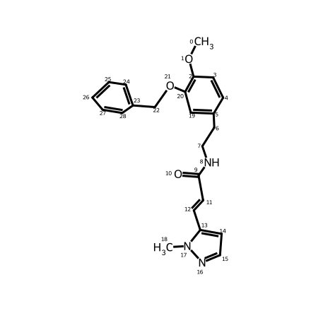 COc1ccc(CCNC(=O)C=Cc2ccnn2C)cc1OCc1ccccc1